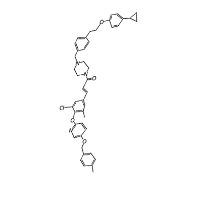 Cc1ccc(COc2ccc(Oc3c(C)cc(/C=C/C(=O)N4CCN(Cc5ccc(CCOc6ccc(C7CC7)cc6)cc5)CC4)cc3Cl)nc2)cc1